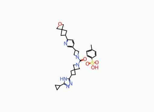 Cc1ccc(S(=O)(=O)O)cc1.O=C(N1CC(c2ccc(C3CC4(COC4)C3)nc2)C1)N1CC2(CC(c3nnc(C4CC4)[nH]3)C2)C1